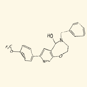 OC1c2cc(-c3ccc(OC(F)(F)F)cc3)ncc2OCCN1Cc1ccccc1